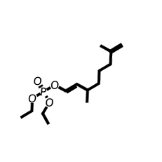 C=C(C)CCCC(C)C=COP(=O)(OCC)OCC